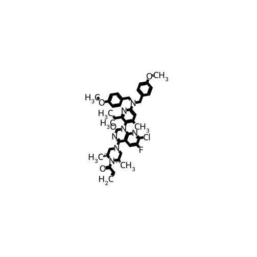 C=CC(=O)N1[C@H](C)CN(c2nc(=O)n(-c3c(C)cc(N(Cc4ccc(OC)cc4)Cc4ccc(OC)cc4)nc3C(C)C)c3nc(Cl)c(F)cc23)C[C@@H]1C